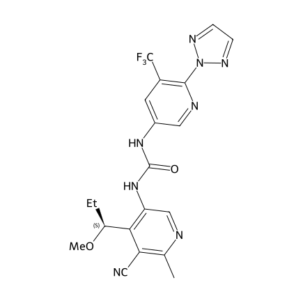 CC[C@H](OC)c1c(NC(=O)Nc2cnc(-n3nccn3)c(C(F)(F)F)c2)cnc(C)c1C#N